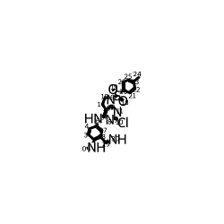 CNc1ccc(Nc2nc(Cl)nc3c2CCN3S(=O)(=O)c2ccc(C)cc2)cc1C=N